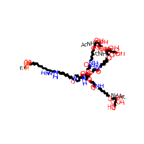 CCO[PH](=O)OCCCCCCCCCC/C(=C/NCCCCCCCC(=O)N1CCC(C(=O)NC(COCCC(=O)NCCCCCCCCOC2OC(CO)C(O)C(O)C2NC(C)=O)(COCCC(=O)NCCCCCCOC2OC(CO)C(O)C(O)C2NC(C)=O)COCCC(=O)NCCCCCCOC2OC(CO)C(O)C(O)C2NC(C)=O)CC1)N=N